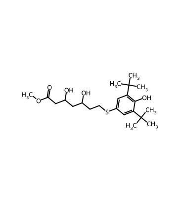 COC(=O)CC(O)CC(O)CCSc1cc(C(C)(C)C)c(O)c(C(C)(C)C)c1